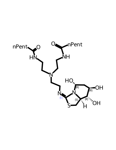 CCCCCC(=O)NCCN(CC/N=C1/SC[C@@H]2[C@@H](O)[C@H](O)C[C@@H](O)N12)CCNC(=O)CCCCC